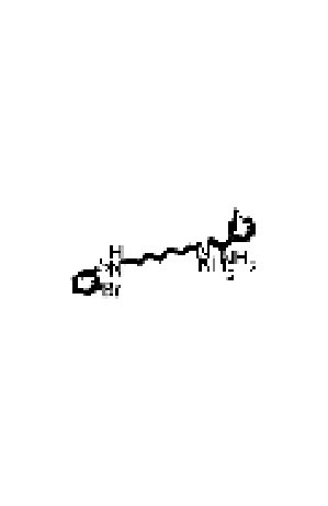 N/C(=C\N(N)CCCCCCCNSc1ccccc1Br)c1cccnc1